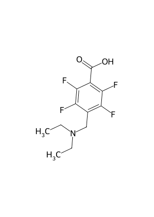 CCN(CC)Cc1c(F)c(F)c(C(=O)O)c(F)c1F